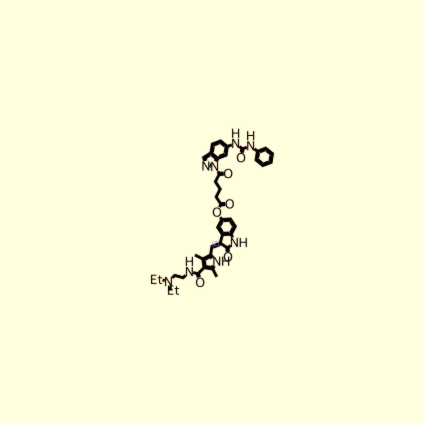 CCN(CC)CCNC(=O)c1c(C)[nH]c(/C=C2\C(=O)Nc3ccc(OC(=O)CCCC(=O)n4ncc5ccc(NC(=O)Nc6ccccc6)cc54)cc32)c1C